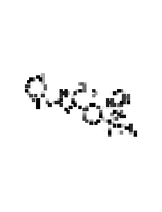 CCc1nccn1-c1cc(-c2sc(Nc3cnccn3)nc2C)ccc1S(C)(=O)=O